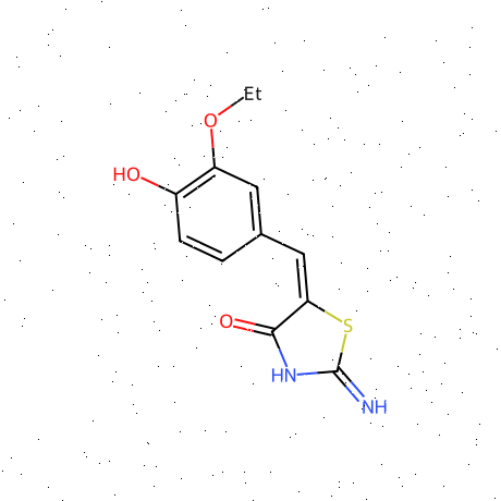 CCOc1cc(/C=C2/SC(=N)NC2=O)ccc1O